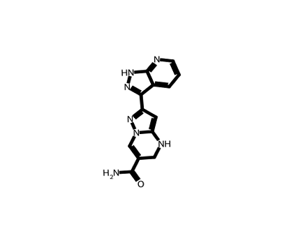 NC(=O)C1=Cn2nc(-c3n[nH]c4ncccc34)cc2NC1